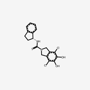 Oc1c(O)c(Cl)c2c(c1Cl)CN(C(=S)N[C@@H]1CCc3ccccc31)C2